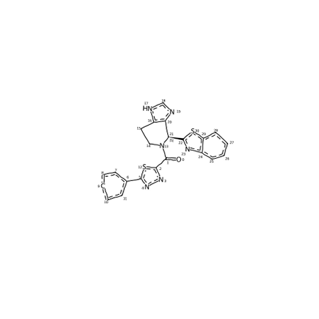 O=C(c1nnc(-c2ccccc2)s1)N1CCc2[nH]cnc2[C@H]1c1nc2ccccc2s1